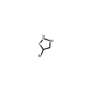 BrC1CNNS1